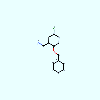 NCC1CC(Cl)CCC1OCC1CCCCC1